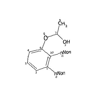 CCCCCCCCCc1cccc(OC(C)O)c1CCCCCCCCC